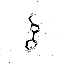 C/C=C\C(=N/C)c1ncc(CO)o1